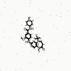 COc1cc(C(=O)NC2CCN(C)CC2)ccc1Nc1ncc2c(n1)N(C(C)(C)C)CCC(=O)N2C